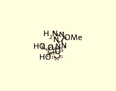 COc1nc(N)nc2c1ncn2[C@@H]1O[C@H](CO)[C@@H](O)[C@@]12CCCO2